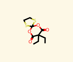 CCC1(CC)C(=O)OC2(OC1=O)SCCS2